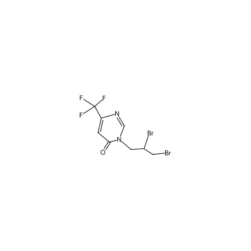 O=c1cc(C(F)(F)F)ncn1CC(Br)CBr